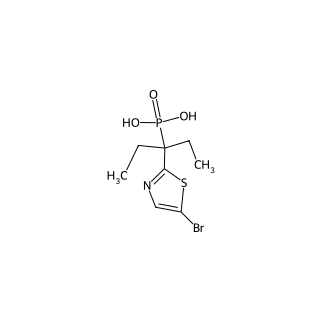 CCC(CC)(c1ncc(Br)s1)P(=O)(O)O